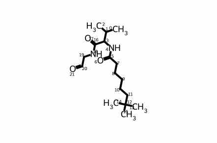 CC(C)C(NC(=O)CCCCCC(C)(C)C)C(=O)NCC=O